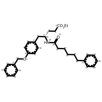 CCOC(=O)CC[C@@H](Cc1ccc(OCc2ccccc2)cc1)NC(=O)CCCCCc1ccccc1